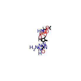 C=C1C2COP(=O)(N[C@@H](C)C(=O)OC(C)C)OCO[C@@H]2C[C@@H]1n1cnc2c(=O)[nH]c(N)nc21